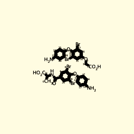 CC(NC(=O)c1cc(Br)c(Oc2ccc(N)cc2)c(Br)c1)C(=O)O.Nc1ccc(Oc2c(Br)cc(OCC(=O)O)cc2Br)cc1